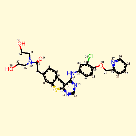 O=C(Cc1ccc2c(c1)sc1ncnc(Nc3ccc(OCc4ccccn4)c(Cl)c3)c12)N(CCO)CCO